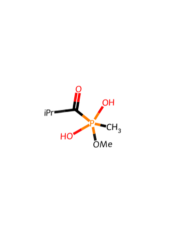 COP(C)(O)(O)C(=O)C(C)C